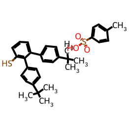 CC(C)(C)c1ccc(-c2cccc(S)c2-c2ccc(C(C)(C)C)cc2)cc1.Cc1ccc(S(=O)(=O)O)cc1